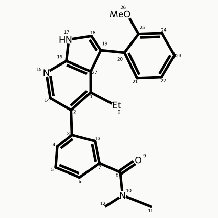 CCc1c(-c2cccc(C(=O)N(C)C)c2)cnc2[nH]cc(-c3ccccc3OC)c12